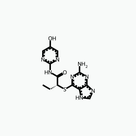 CC[C@@H](Sc1nc(N)nc2nc[nH]c12)C(=O)Nc1ncc(O)cn1